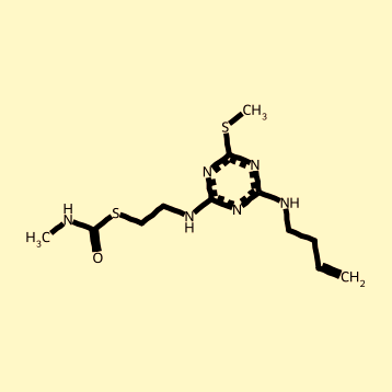 C=CCCNc1nc(NCCSC(=O)NC)nc(SC)n1